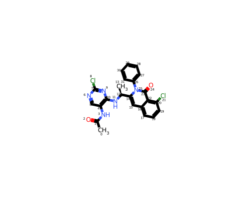 CC(=O)Nc1cnc(Cl)nc1N[C@@H](C)c1cc2cccc(Cl)c2c(=O)n1-c1ccccc1